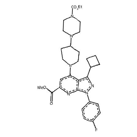 CCOC(=O)N1CCN(C2CCN(c3cc(C(=O)OC)nc4c3c(C3CCC3)nn4-c3ccc(F)cc3)CC2)CC1